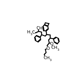 CCCCOCC(CC(CC(CC(CC(C)CC)c1ccccc1)c1ccc2c(c1)CC2)c1ccccc1)OC